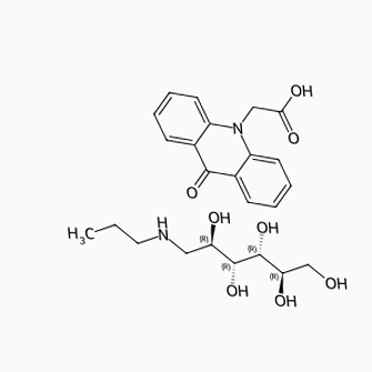 CCCNC[C@@H](O)[C@@H](O)[C@H](O)[C@H](O)CO.O=C(O)Cn1c2ccccc2c(=O)c2ccccc21